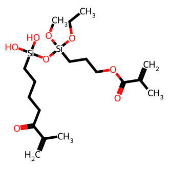 C=C(C)C(=O)CCCC[Si](O)(O)O[Si](CCCOC(=O)C(=C)C)(OC)OCC